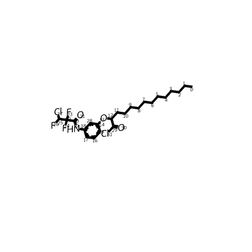 CCCCCCCCCCCCC(Oc1cccc(NC(=O)C(F)(F)C(F)Cl)c1)C(=O)Cl